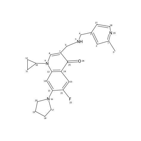 Cc1cc(CNCc2cn(C3CC3)c3cc(N4CCCC4)c(F)cc3c2=O)ccn1